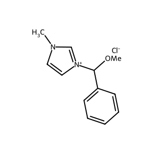 COC(c1ccccc1)[n+]1ccn(C)c1.[Cl-]